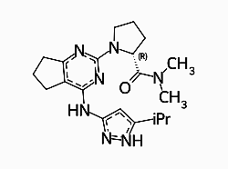 CC(C)c1cc(Nc2nc(N3CCC[C@@H]3C(=O)N(C)C)nc3c2CCC3)n[nH]1